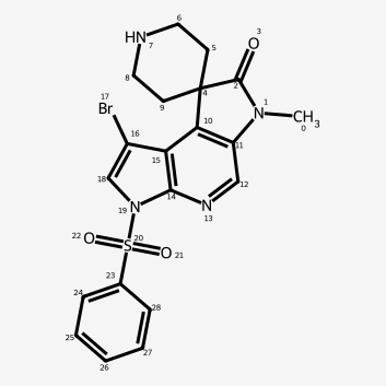 CN1C(=O)C2(CCNCC2)c2c1cnc1c2c(Br)cn1S(=O)(=O)c1ccccc1